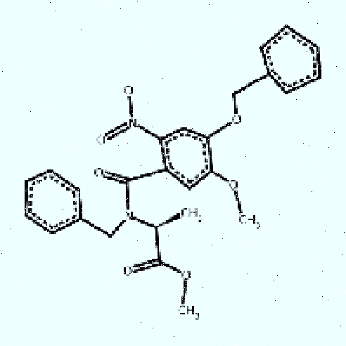 COC(=O)[C@H](C)N(Cc1ccccc1)C(=O)c1cc(OC)c(OCc2ccccc2)cc1[N+](=O)[O-]